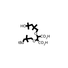 CC(C)(C)CC(C)(C)COC(C(=O)O)C(OCC(C)(C)CC(C)(C)O)C(=O)O